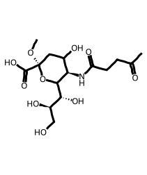 CO[C@]1(C(=O)O)CC(O)[C@@H](NC(=O)CCC(C)=O)C([C@H](O)[C@H](O)CO)O1